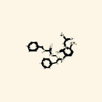 Cc1ccc(N[C@@H](CNC(=O)OCc2ccccc2)Cc2ccccc2)c(=O)n1CC(=O)O